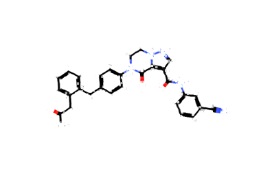 CC(=O)Cc1ccccc1Cc1ccc(N2CCn3ncc(C(=O)Nc4cccc(C#N)c4)c3C2=O)cc1